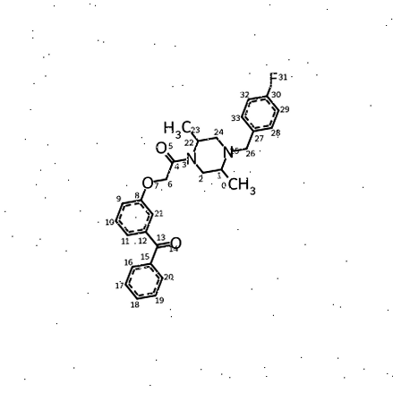 CC1CN(C(=O)COc2cccc(C(=O)c3ccccc3)c2)C(C)CN1Cc1ccc(F)cc1